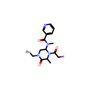 CCC(C)CN1CC(N(C)C(=O)c2cccnc2)N(C(=O)CI)C(C)C1=O